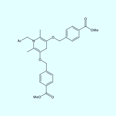 COC(=O)c1ccc(COC2=C(C)N(CC(C)=O)C(C)=C(OCc3ccc(C(=O)OC)cc3)C2)cc1